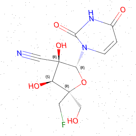 N#C[C@@]1(O)[C@H](O)[C@](CO)(CF)O[C@H]1n1ccc(=O)[nH]c1=O